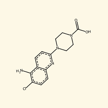 Nc1c(Cl)ccc2nc(N3CCN(C(=O)O)CC3)ccc12